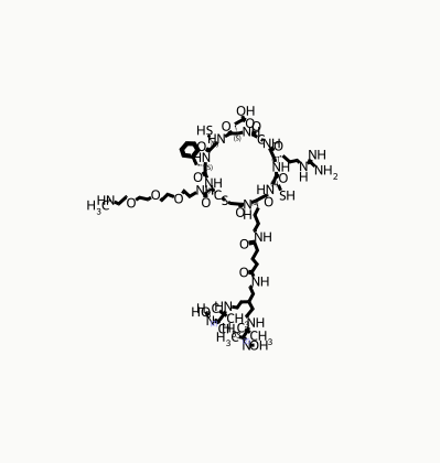 CNCCOCCOCCOCCNC(=O)[C@@H]1CSCC(=O)N[C@@H](CCCCNC(=O)CCCC(=O)NCCC(CCNC(C)(C)/C(C)=N\O)CCNC(C)(C)/C(C)=N\O)C(=O)N[C@@H](CS)C(=O)N[C@@H](CCCNC(=N)N)C(=O)NCC(=O)N[C@@H](CC(=O)O)C(=O)N[C@@H](CS)C(=O)N[C@@H](Cc2ccccc2)C(=O)N1